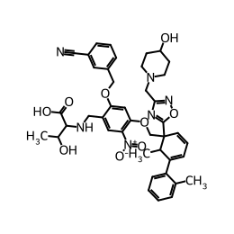 Cc1ccccc1C1=CC=CC(COc2cc(OCc3cccc(C#N)c3)c(CNC(C(=O)O)C(C)O)cc2[N+](=O)[O-])(c2nc(CN3CCC(O)CC3)no2)C1C